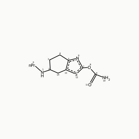 CCCNC1CCc2nc(OC(N)=O)sc2C1